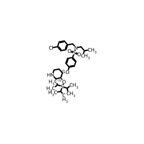 CC(C)CN(Cc1ccc(Cl)cc1)S(=O)(=O)c1ccc(O[C@H]2CCNC[C@@H]2O[Si](C(C)C)(C(C)C)C(C)C)cc1